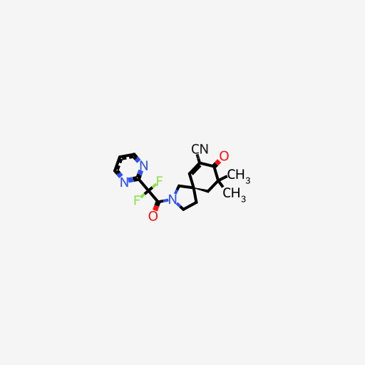 CC1(C)C[C@@]2(C=C(C#N)C1=O)CCN(C(=O)C(F)(F)c1ncccn1)C2